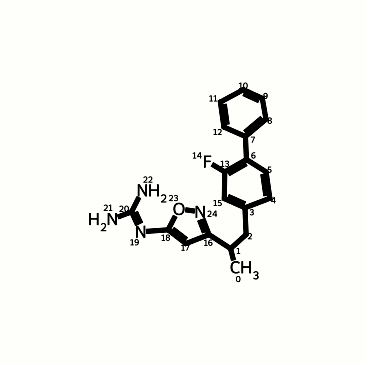 CC(Cc1ccc(-c2ccccc2)c(F)c1)c1cc(N=C(N)N)on1